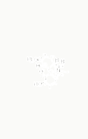 CN1CC[C@]23c4c5ccc(O)c4O[C@H]2C(=O)CC[C@H]3[C@H]1C5.I